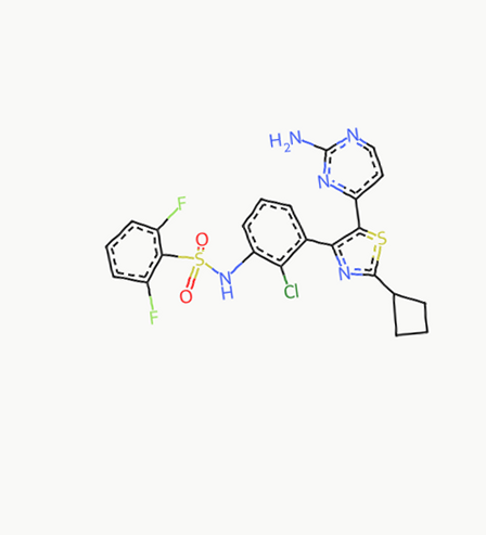 Nc1nccc(-c2sc(C3CCC3)nc2-c2cccc(NS(=O)(=O)c3c(F)cccc3F)c2Cl)n1